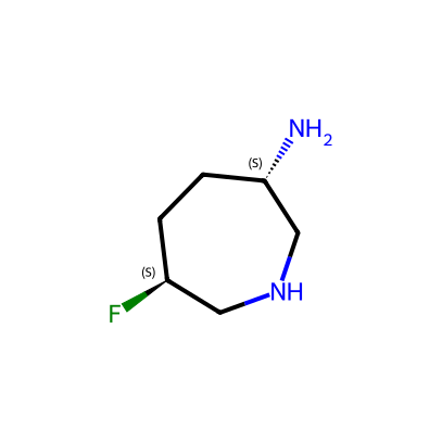 N[C@H]1CC[C@H](F)CNC1